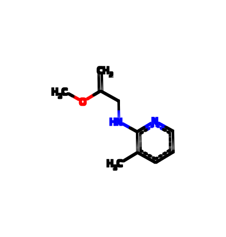 C=C(CNc1ncccc1C)OC